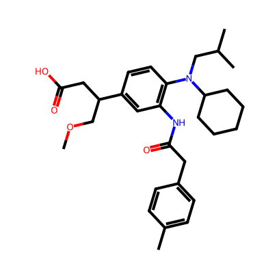 COCC(CC(=O)O)c1ccc(N(CC(C)C)C2CCCCC2)c(NC(=O)Cc2ccc(C)cc2)c1